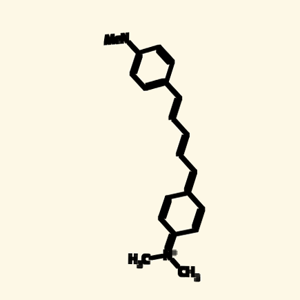 CNc1ccc(/C=C/C=C/C=C2C=CC(=[N+](C)C)C=C2)cc1